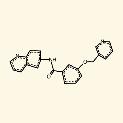 O=C(Nc1ccc2ncccc2c1)c1cccc(OCc2cccnc2)c1